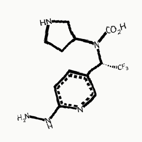 NNc1ccc([C@H](N(C(=O)O)C2CCNC2)C(F)(F)F)cn1